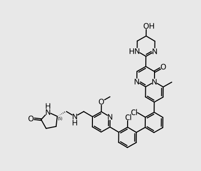 COc1nc(-c2cccc(-c3cccc(-c4cc(C)n5c(=O)c(C6=NCC(O)CN6)cnc5c4)c3Cl)c2Cl)ccc1CNC[C@@H]1CCC(=O)N1